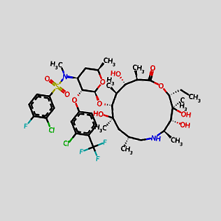 CC[C@H]1OC(=O)[C@H](C)[C@@H](O)[C@H](C)[C@@H](O[C@@H]2O[C@H](C)C[C@H](N(C)S(=O)(=O)c3ccc(F)c(Cl)c3)[C@H]2Oc2ccc(C(F)(F)F)c(Cl)c2)[C@](C)(O)C[C@@H](C)CN[C@H](C)[C@@H](O)[C@]1(C)O